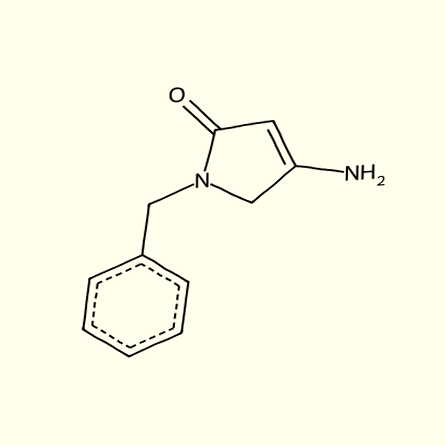 NC1=CC(=O)N(Cc2ccccc2)C1